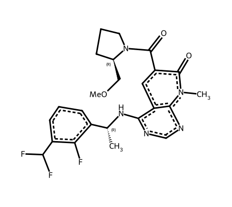 COC[C@H]1CCCN1C(=O)c1cc2c(N[C@H](C)c3cccc(C(F)F)c3F)ncnc2n(C)c1=O